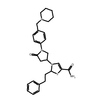 NC(=O)C1=CN(C2CC(=O)N(c3ccc(CN4CCCCC4)cc3)C2)C(CCc2ccccc2)S1